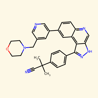 CC(C)(C#N)c1ccc(-c2n[nH]c3cnc4ccc(-c5cncc(CN6CCOCC6)c5)cc4c23)cc1